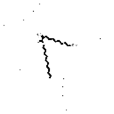 C=C(CCCCCCCCCCCCCCCCCC)C(=O)OCCCCCCCCCCF